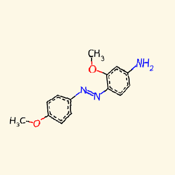 COc1ccc(N=Nc2ccc(N)cc2OC)cc1